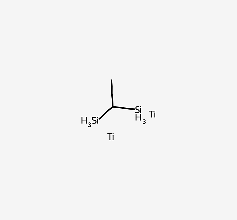 CC([SiH3])[SiH3].[Ti].[Ti]